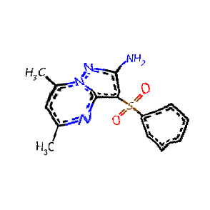 Cc1cc(C)n2nc(N)c(S(=O)(=O)c3ccccc3)c2n1